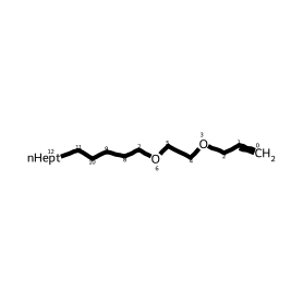 C=CCOCCOCCCCCCCCCCCC